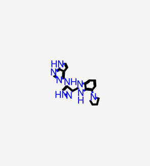 c1cc(N2CCCC2)c2[nH]c(-c3n[nH]cc3Nc3ncnc4[nH]ccc34)nc2c1